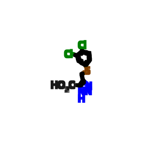 O=C(O)c1[nH]nnc1CSc1ccc(Cl)c(Cl)c1